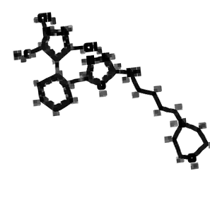 Cc1nn(C)c(C)c1-c1ccccc1-c1nnc(NCCCCN2CCOCC2)o1